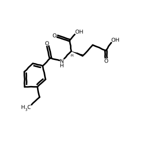 CCc1cccc(C(=O)N[C@H](CCC(=O)O)C(=O)O)c1